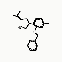 CC(C)=CCC(CO)c1ccc(C)cc1OCc1ccccc1